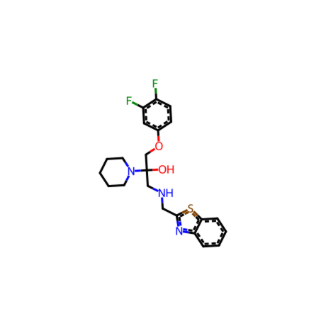 OC(CNCc1nc2ccccc2s1)(COc1ccc(F)c(F)c1)N1CCCCC1